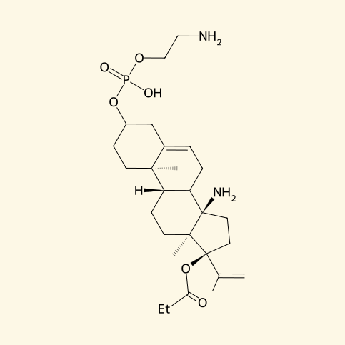 C=C(C)[C@@]1(OC(=O)CC)CC[C@@]2(N)C3CC=C4CC(OP(=O)(O)OCCN)CC[C@]4(C)[C@H]3CC[C@]12C